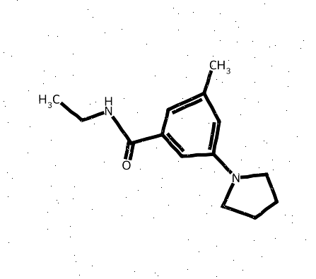 CCNC(=O)c1cc(C)cc(N2CCCC2)c1